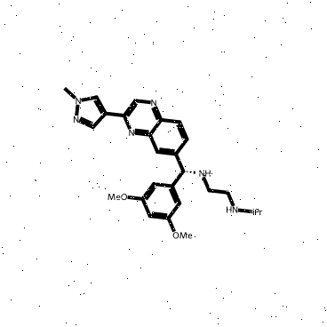 COc1cc(OC)cc([C@@H](NCCNC(C)C)c2ccc3ncc(-c4cnn(C)c4)nc3c2)c1